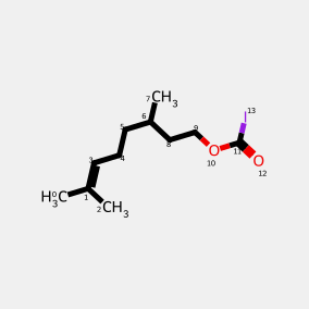 CC(C)=CCCC(C)CCOC(=O)I